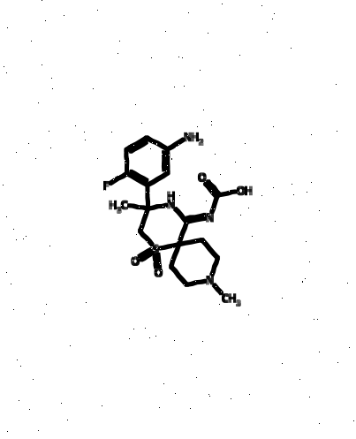 CN1CCC2(CC1)/C(=N/C(=O)O)NC(C)(c1cc(N)ccc1F)CS2(=O)=O